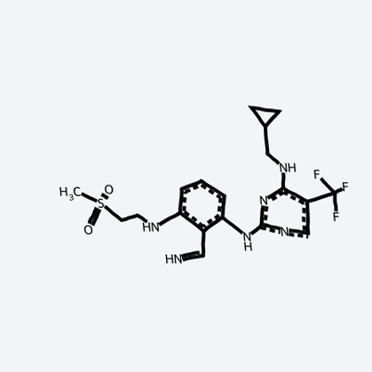 CS(=O)(=O)CCNc1cccc(Nc2ncc(C(F)(F)F)c(NCC3CC3)n2)c1C=N